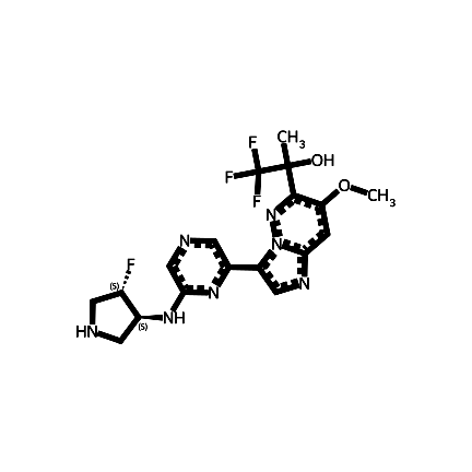 COc1cc2ncc(-c3cncc(N[C@H]4CNC[C@@H]4F)n3)n2nc1C(C)(O)C(F)(F)F